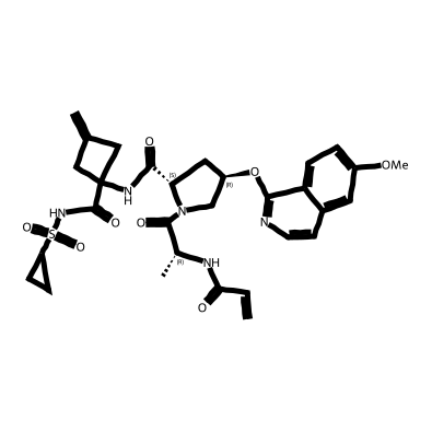 C=CC(=O)N[C@H](C)C(=O)N1C[C@H](Oc2nccc3cc(OC)ccc23)C[C@H]1C(=O)NC1(C(=O)NS(=O)(=O)C2CC2)CC(=C)C1